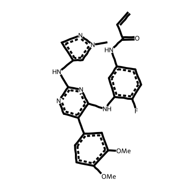 C=CC(=O)Nc1ccc(F)c(Nc2nc(Nc3cnn(C)c3)ncc2-c2ccc(OC)c(OC)c2)c1